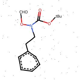 CC(C)(C)OC(=O)N(CCc1ccccc1)OC=O